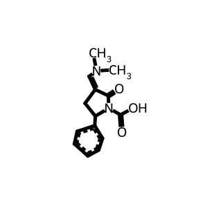 CN(C)C=C1CC(c2ccccc2)N(C(=O)O)C1=O